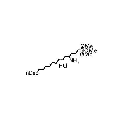 CCCCCCCCCCCCCCCCCCCC(N)CCC[Si](OC)(OC)OC.Cl